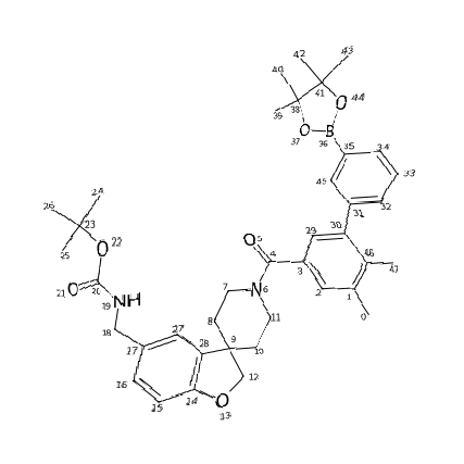 Cc1cc(C(=O)N2CCC3(CC2)COc2ccc(CNC(=O)OC(C)(C)C)cc23)cc(-c2cccc(B3OC(C)(C)C(C)(C)O3)c2)c1C